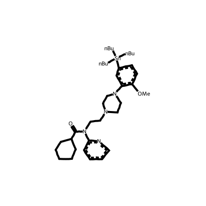 CCC[CH2][Sn]([CH2]CCC)([CH2]CCC)[c]1ccc(OC)c(N2CCN(CCN(C(=O)C3CCCCC3)c3ccccn3)CC2)c1